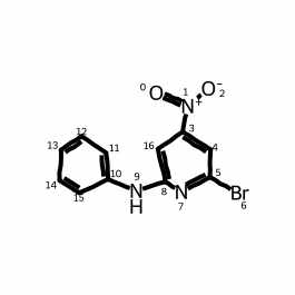 O=[N+]([O-])c1cc(Br)nc(Nc2ccccc2)c1